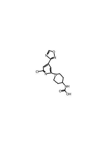 O=C(O)NC1CCN(c2cc(-c3ncon3)cc(Cl)n2)CC1